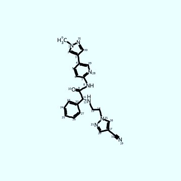 Cn1cc(-c2ccc(NC(=O)[C@H](NCCn3cc(C#N)cn3)c3ccccc3)nc2)cn1